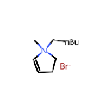 CCCCC[N+]1(C)C=CCC1.[Br-]